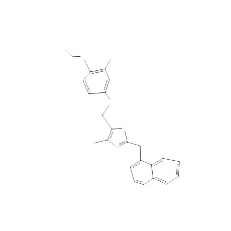 Cc1cc(SCc2sc(Cc3cccc4ccccc34)nc2C)ccc1OCC(=O)O